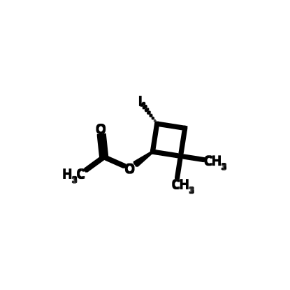 CC(=O)O[C@H]1[C@H](I)CC1(C)C